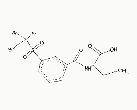 CCC(NC(=O)c1cccc(S(=O)(=O)C(Br)(Br)Br)c1)C(=O)O